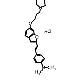 CN1CCN(CCCOc2ccc3cc(C=Cc4ccc(N(C)C)cc4)oc3c2)CC1.Cl